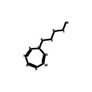 CCCCCC1C=CC=CC=C1